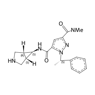 CNC(=O)c1cc(C(=O)N[C@H]2[C@@H]3CNC[C@@H]32)n([C@@H](C)c2ccccc2)n1